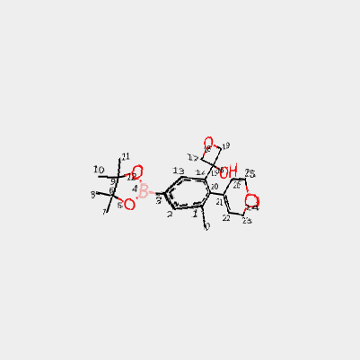 Cc1cc(B2OC(C)(C)C(C)(C)O2)cc(C2(O)COC2)c1C1=CCOCC1